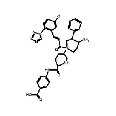 NC1CC[N+](C(=O)/C=C/c2cc(Cl)ccc2-n2cnnn2)(C2CCC(C(=O)Nc3ccc(C(=O)O)cc3)NC2)CC1c1ccccc1